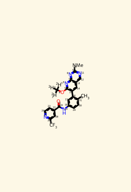 [2H]C([2H])([2H])Oc1nc2nc(NC)ncc2cc1-c1cc(NC(=O)c2ccnc(C(F)(F)F)c2)ccc1C